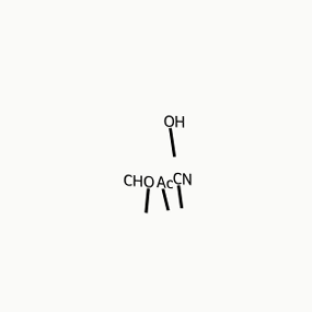 CC#N.CC(C)=O.CC=O.CO